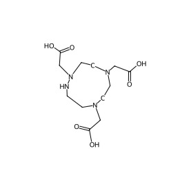 O=C(O)CN1CCNN(CC(=O)O)CCN(CC(=O)O)CC1